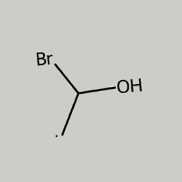 [CH2]C(O)Br